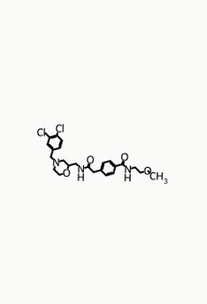 COCCNC(=O)c1ccc(CC(=O)NCC2CN(Cc3ccc(Cl)c(Cl)c3)CCO2)cc1